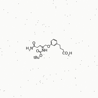 CC(C)(C)OC(=O)N[C@@H](CCC(N)=O)COc1cccc(CCCC(=O)O)c1